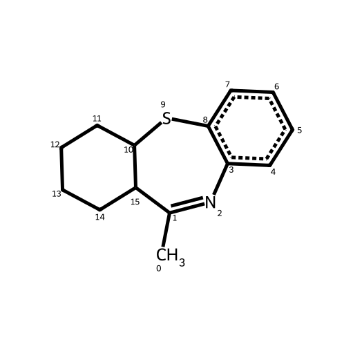 CC1=Nc2ccccc2SC2CCCCC12